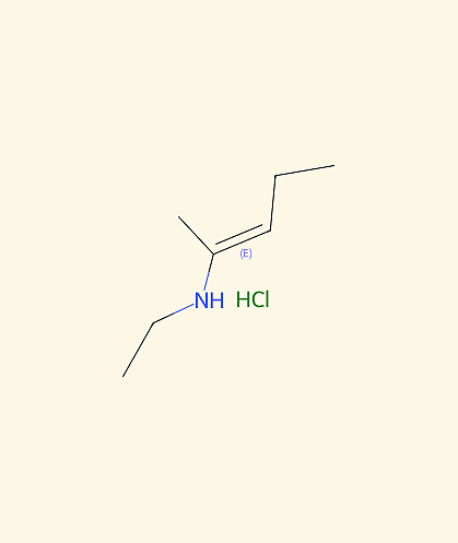 CC/C=C(\C)NCC.Cl